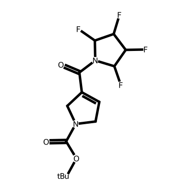 CC(C)(C)OC(=O)N1CC=C(C(=O)N2C(F)C(F)C(F)C2F)C1